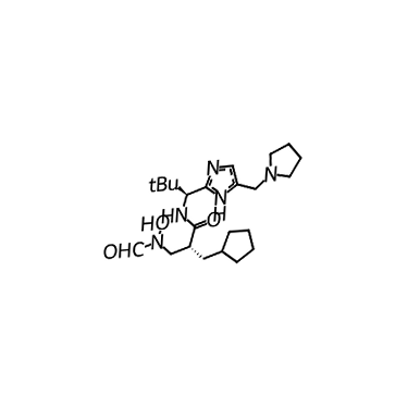 CC(C)(C)[C@H](NC(=O)[C@H](CC1CCCC1)CN(O)C=O)c1ncc(CN2CCCC2)[nH]1